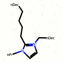 CCCCCCCCCCCCCCc1n(CCC)cc[n+]1CCCCCCCCCCC